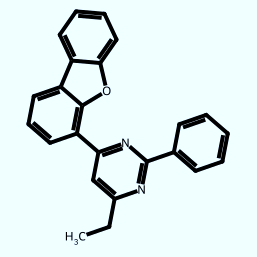 CCc1cc(-c2cccc3c2oc2ccccc23)nc(-c2ccccc2)n1